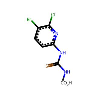 O=C(O)NC(=S)Nc1ccc(Br)c(Cl)n1